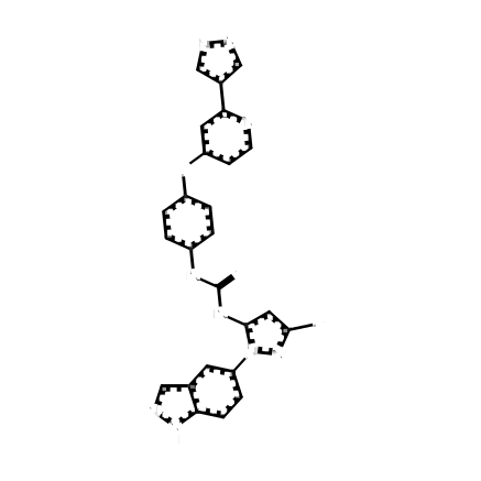 CC(C)c1cc(NC(=O)Nc2ccc(Oc3ccnc(-c4cn[nH]c4)c3)cc2)n(-c2ccc3[nH]ncc3c2)n1